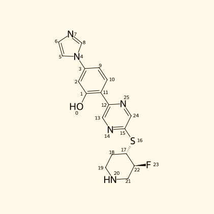 Oc1cc(-n2ccnc2)ccc1-c1cnc(S[C@H]2CCNC[C@@H]2F)cn1